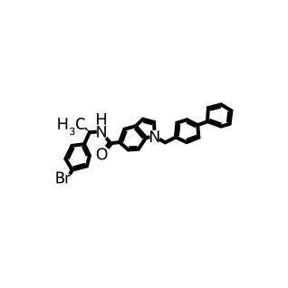 C[C@H](NC(=O)c1ccc2c(ccn2Cc2ccc(-c3ccccc3)cc2)c1)c1ccc(Br)cc1